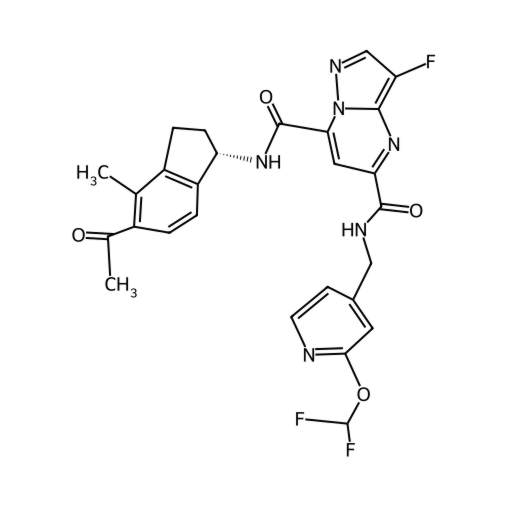 CC(=O)c1ccc2c(c1C)CC[C@@H]2NC(=O)c1cc(C(=O)NCc2ccnc(OC(F)F)c2)nc2c(F)cnn12